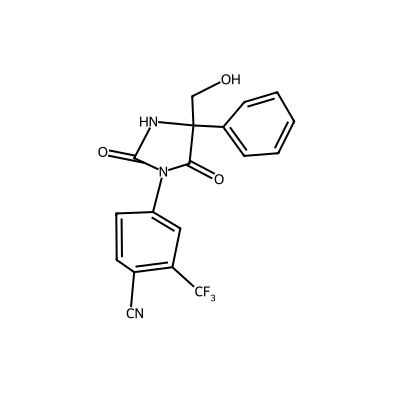 N#Cc1ccc(N2C(=O)NC(CO)(c3ccccc3)C2=O)cc1C(F)(F)F